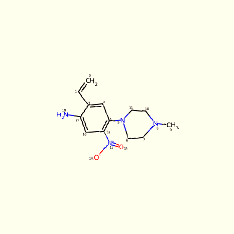 C=Cc1cc(N2CCN(C)CC2)c([N+](=O)[O-])cc1N